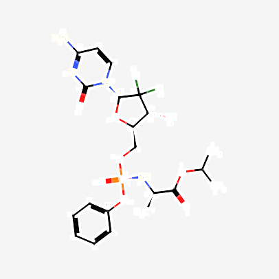 CC(C)OC(=O)[C@@H](C)N[P@@](=O)(OC[C@H]1O[C@@H](n2ccc(N)nc2=O)C(Cl)(Cl)[C@@H]1O)Oc1ccccc1